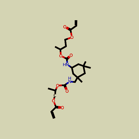 C=CC(=O)OCCC(C)OC(=O)NC1CC(C)(C)CC(C)(CNC(=O)OC(C)COC(=O)C=C)C1